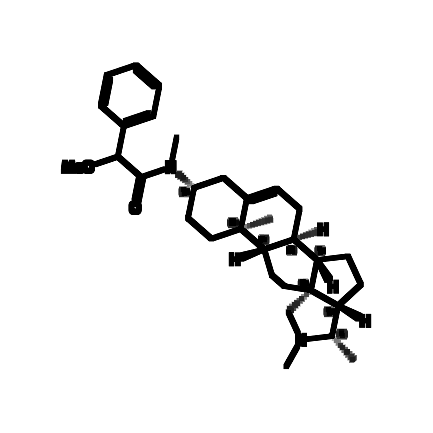 COC(C(=O)N(C)[C@H]1CC[C@@]2(C)C(=CC[C@H]3[C@@H]4CC[C@@H]5[C@H](C)N(C)C[C@@]54CC[C@@H]32)C1)c1ccccc1